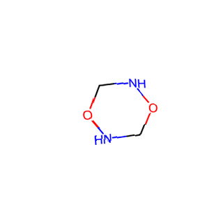 C1NOCNO1